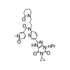 CCCn1c(=O)n(C2CC2)c(=O)c2[nH]c(-c3ccc(N(CCCN4CCCCC4=O)C(=O)c4ccc(=O)n(C)c4)nc3)nc21